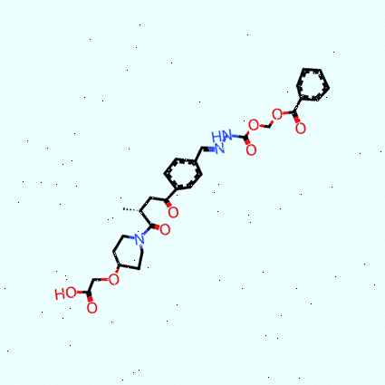 C[C@H](CC(=O)c1ccc(C=NNC(=O)OCOC(=O)c2ccccc2)cc1)C(=O)N1CCC(OCC(=O)O)CC1